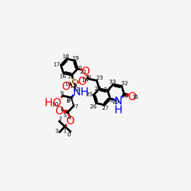 CC(C)(C)OC(=O)C[C@@H](CO)NS(=O)(=O)c1ccccc1OCCc1cccc2[nH]c(=O)ccc12